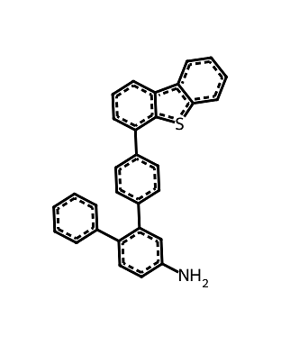 Nc1ccc(-c2ccccc2)c(-c2ccc(-c3cccc4c3sc3ccccc34)cc2)c1